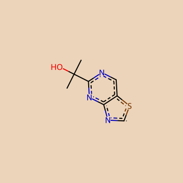 CC(C)(O)c1ncc2s[c]nc2n1